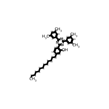 CCCCCCCCCCCCCc1ccc(-c2nc(-c3cc(C)cc(C)c3)nc(-c3cc(C)cc(C)c3)n2)c(O)c1